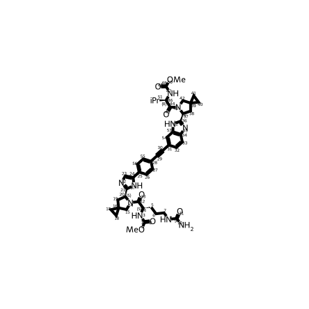 COC(=O)N[C@@H](CCCNC(N)=O)C(=O)N1CC2(CC2)C[C@H]1c1ncc(-c2ccc(C#Cc3ccc4nc([C@@H]5CC6(CC6)CN5C(=O)[C@H](NC(=O)OC)C(C)C)[nH]c4c3)cc2)[nH]1